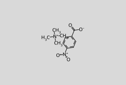 C[N+](C)(C)C.O=C([O-])c1ccc([N+](=O)[O-])cc1